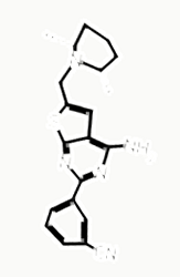 C[C@@H]1CCC[C@H](C)N1Cc1cc2c(N)nc(-c3cccc(C#N)c3)nc2s1